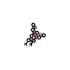 N#Cc1ccc(-n2c3ccccc3c3c4oc5ccccc5c4ccc32)c(-c2cc(-n3c4ccccc4c4c5oc6ccccc6c5ccc43)ccc2-c2ccc(C#N)cc2C(F)(F)F)c1